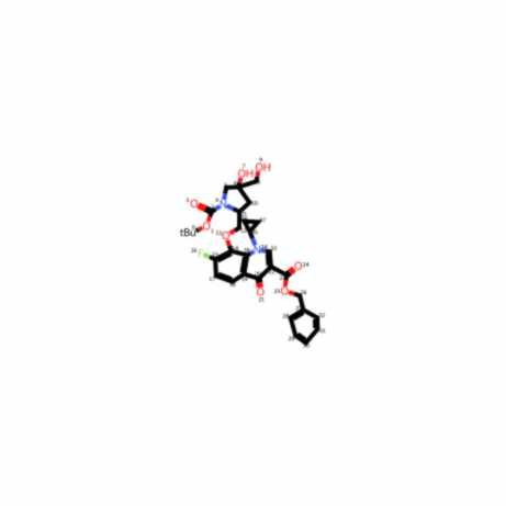 CC(C)(C)OC(=O)N1CC(O)(CO)CC1COc1c(F)ccc2c(=O)c(C(=O)OCc3ccccc3)cn(C3CC3)c12